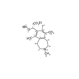 CCOC(=O)[C@@H](OC(C)(C)C)c1c(C)c2c(c(C)c1I)CCN(C)CC2